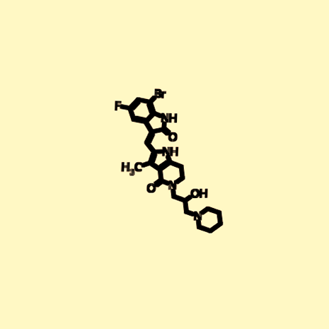 Cc1c(/C=C2\C(=O)Nc3c(Br)cc(F)cc32)[nH]c2c1C(=O)N(CC(O)CN1CCCCC1)CC2